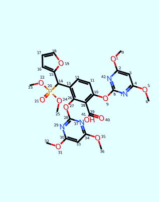 COc1cc(OC)nc(Oc2ccc(C(c3ccco3)P(=O)(OC)OC)c(Oc3nc(OC)cc(OC)n3)c2C(=O)O)n1